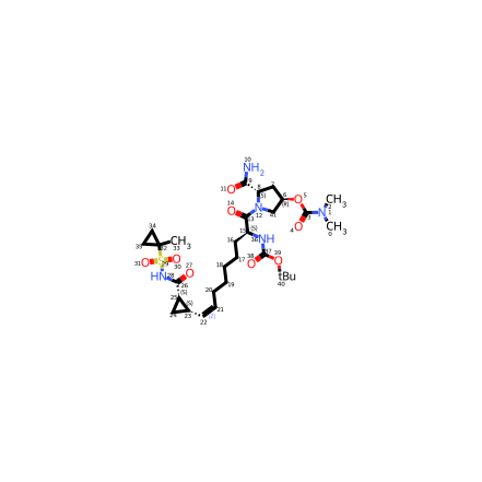 CN(C)C(=O)O[C@@H]1C[C@@H](C(N)=O)N(C(=O)[C@H](CCCCC/C=C\[C@@H]2C[C@@H]2C(=O)NS(=O)(=O)C2(C)CC2)NC(=O)OC(C)(C)C)C1